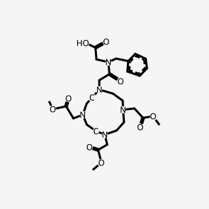 COC(=O)CN1CCN(CC(=O)OC)CCN(CC(=O)N(CC(=O)O)Cc2ccccc2)CCN(CC(=O)OC)CC1